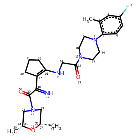 Cc1cc(F)ccc1N1CCN(C(=O)CNC2=C(C(=N)C(=O)N3C[C@@H](C)O[C@@H](C)C3)CCC2)CC1